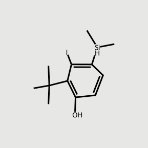 C[SiH](C)c1ccc(O)c(C(C)(C)C)c1I